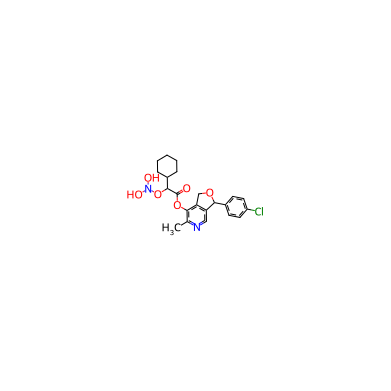 Cc1ncc2c(c1OC(=O)C(ON(O)O)C1CCCCC1)COC2c1ccc(Cl)cc1